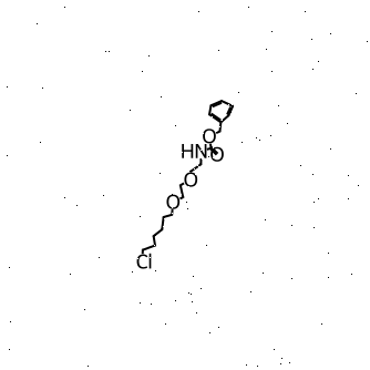 O=C(NCCOCCOCCCCCCCl)OCc1ccccc1